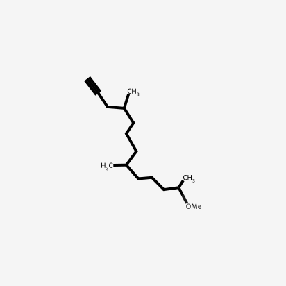 [C]#CCC(C)CCCC(C)CCCC(C)OC